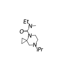 CCN(C)C(=O)N1CCN(C(C)C)CC12CC2